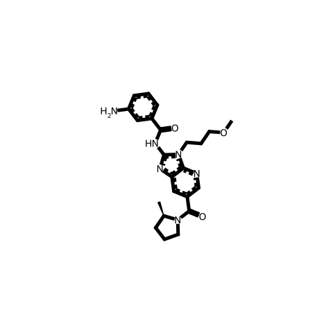 COCCCn1c(NC(=O)c2cccc(N)c2)nc2cc(C(=O)N3CCC[C@H]3C)cnc21